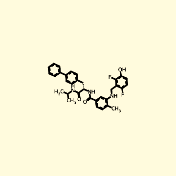 Cc1ccc(C(=O)N[C@@H](Cc2ccc(-c3ccccc3)cc2)C(=O)NC(C)C)cc1NCc1c(F)ccc(O)c1F